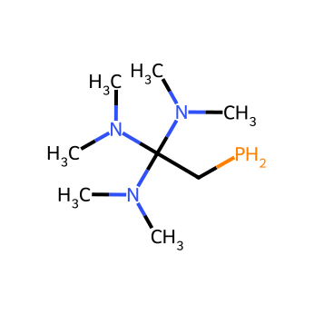 CN(C)C(CP)(N(C)C)N(C)C